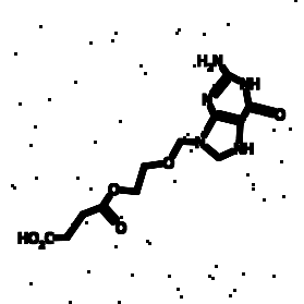 Nc1nc2c(c(=O)[nH]1)NCN2COCCOC(=O)CCC(=O)O